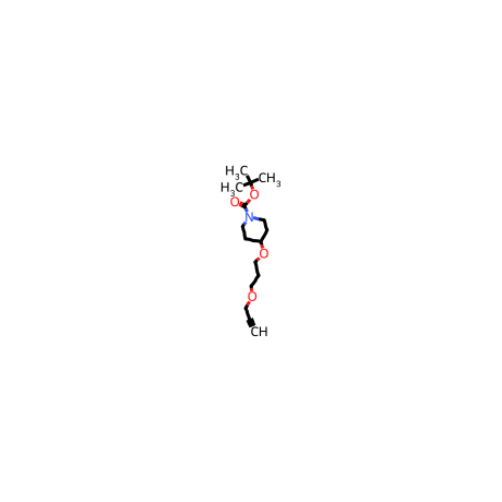 C#CCOCCCOC1CCN(C(=O)OC(C)(C)C)CC1